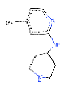 CC(C)(C)c1ccnc(NC2CCNCC2)c1